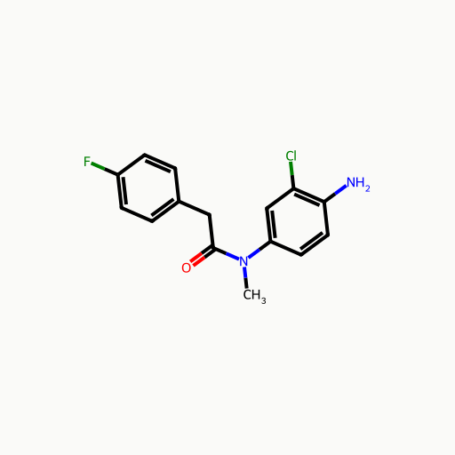 CN(C(=O)Cc1ccc(F)cc1)c1ccc(N)c(Cl)c1